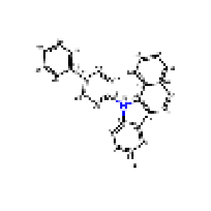 Cc1ccc2c(c1)c1ccc3ccccc3c1n2-c1ccc(-c2ccccc2)cc1